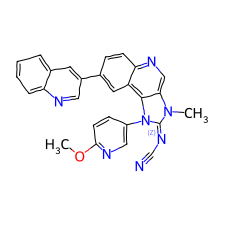 COc1ccc(-n2/c(=N\C#N)n(C)c3cnc4ccc(-c5cnc6ccccc6c5)cc4c32)cn1